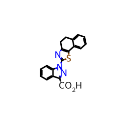 O=C(O)c1nn(-c2nc3c(s2)-c2ccccc2CC3)c2ccccc12